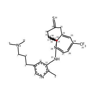 Cc1ncc(CCCN(C)C)cc1NC1=NC=C2CC(=S)CC3=CC(C(F)(F)F)=CC=NC23N1